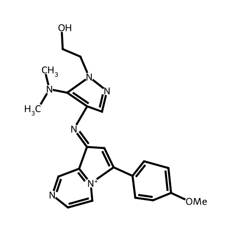 COc1ccc(C2=C/C(=N\c3cnn(CCO)c3N(C)C)c3cncc[n+]32)cc1